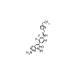 CC(C)n1c(=O)c(-c2cc(F)c(NSCc3ccn(CC(F)(F)F)n3)c(F)c2F)cc2cnc(N)nc21